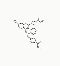 C=CC(=O)N1CC(c2cc3cc(C4CC4)ccc3c(=O)n2-c2cccc(-c3cccc(C(N)=O)c3)c2CO)C1